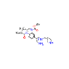 COC(=O)N1c2ccc(C(CN)CNC[C@H]3CCNC3)cc2N(C(=O)OC(C)C)C[C@@H]1C